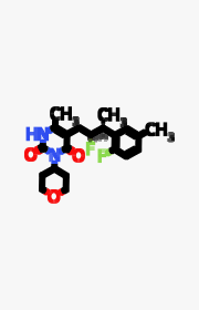 Cc1ccc(F)c([C@@H](C)[C@@H](F)Cc2c(C)[nH]c(=O)n(C3CCOCC3)c2=O)c1